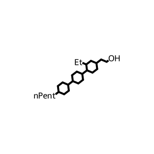 CCCCCC1CCC(C2CCC(C3CCC(CCO)CC3CC)CC2)CC1